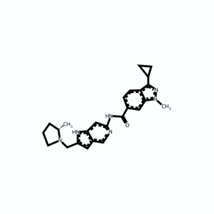 C[C@H]1CCCN1Cc1cc2cnc(NC(=O)c3ccc4c(C5CC5)nn(C)c4c3)cc2[nH]1